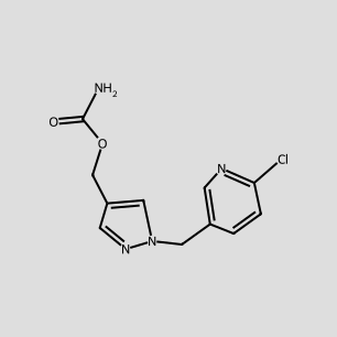 NC(=O)OCc1cnn(Cc2ccc(Cl)nc2)c1